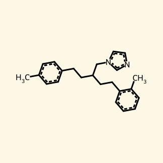 Cc1ccc(CCC(CCc2ccccc2C)Cn2ccnc2)cc1